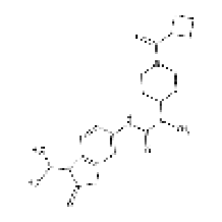 CC(C)n1c(=O)oc2cc(NC(=O)N(C)C3CCN(C(=O)C4CCC4)CC3)ccc21